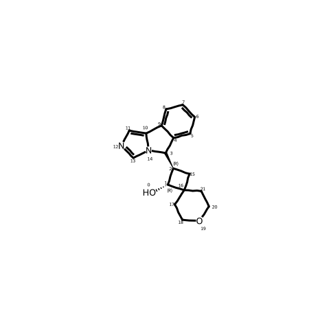 O[C@@H]1[C@@H](C2c3ccccc3-c3cncn32)CC12CCOCC2